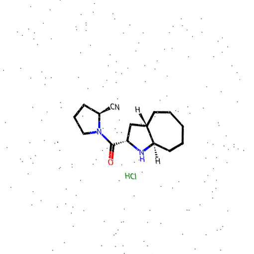 Cl.N#C[C@@H]1CCCN1C(=O)[C@@H]1C[C@@H]2CCCCC[C@H]2N1